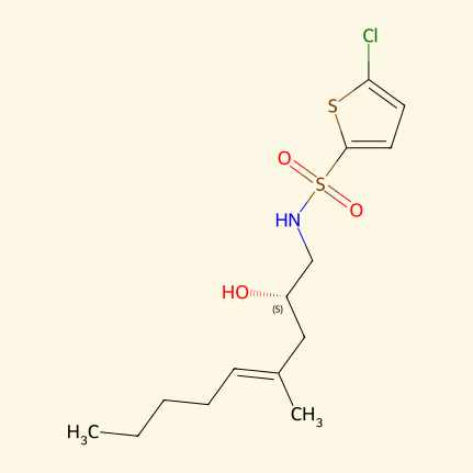 CCCCC=C(C)C[C@H](O)CNS(=O)(=O)c1ccc(Cl)s1